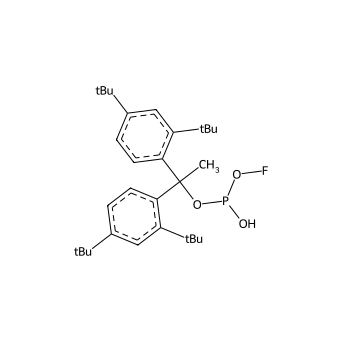 CC(C)(C)c1ccc(C(C)(OP(O)OF)c2ccc(C(C)(C)C)cc2C(C)(C)C)c(C(C)(C)C)c1